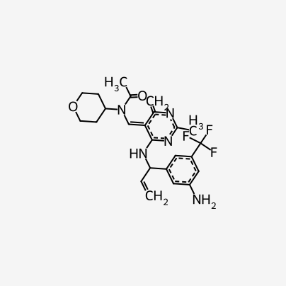 C=CC(Nc1nc(C)nc(=C)/c1=C\N(C(C)=O)C1CCOCC1)c1cc(N)cc(C(F)(F)F)c1